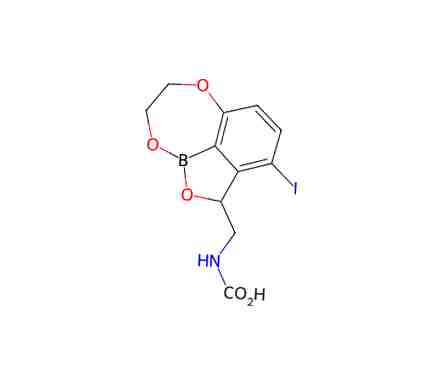 O=C(O)NCC1OB2OCCOc3ccc(I)c1c32